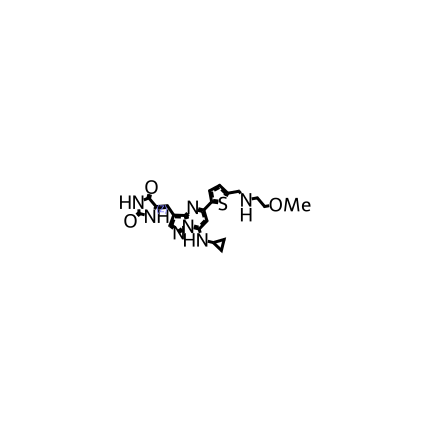 COCCNCc1ccc(-c2cc(NC3CC3)n3ncc(/C=C4\NC(=O)NC4=O)c3n2)s1